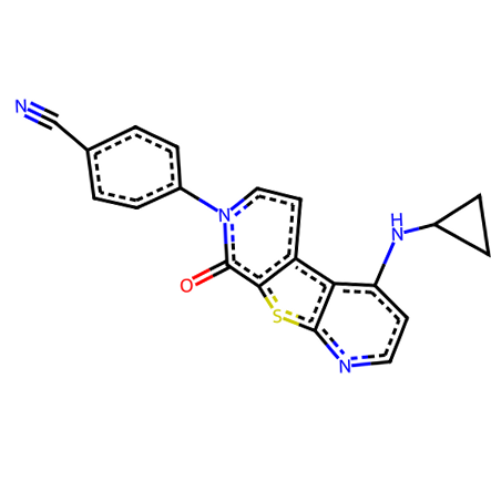 N#Cc1ccc(-n2ccc3c(sc4nccc(NC5CC5)c43)c2=O)cc1